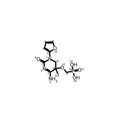 NC1=NC(=O)N(c2ccco2)CC1(I)OCP(=O)(O)O